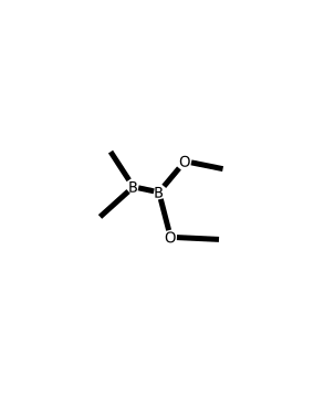 COB(OC)B(C)C